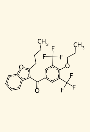 CCCCc1oc2ccccc2c1C(=O)c1cc(C(F)(F)F)c(OCCC)c(C(F)(F)F)c1